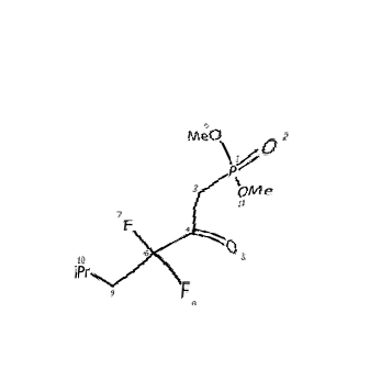 COP(=O)(CC(=O)C(F)(F)CC(C)C)OC